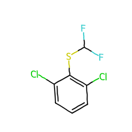 FC(F)Sc1c(Cl)cccc1Cl